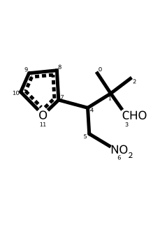 CC(C)(C=O)C(C[N+](=O)[O-])c1ccco1